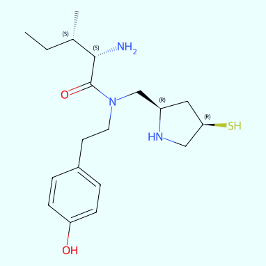 CC[C@H](C)[C@H](N)C(=O)N(CCc1ccc(O)cc1)C[C@H]1C[C@@H](S)CN1